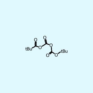 CC(C)(C)OC(=O)OC(=O)OC(=O)C(C)(C)C